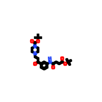 CC(C)(C)OC(=O)CCC(=O)Nc1cccc(C(=O)CCN2CCN(C(=O)OC(C)(C)C)CC2)c1